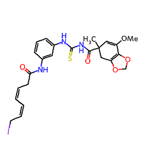 COC1=CC(C)(C(=O)NC(=S)Nc2cccc(NC(=O)C/C=C\C=C/CI)c2)CC2=C1OCO2